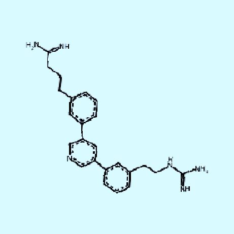 N=C(N)CCCc1cccc(-c2cncc(-c3cccc(CCNC(=N)N)c3)c2)c1